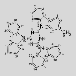 Cc1ccc2c3ccccc3n(-c3nc(-n4c5ccccc5c5ccccc54)nc(-n4c5ccccc5c5ccccc54)n3)c2c1